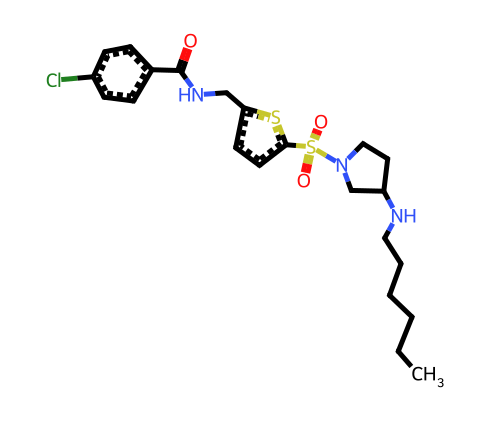 CCCCCCNC1CCN(S(=O)(=O)c2ccc(CNC(=O)c3ccc(Cl)cc3)s2)C1